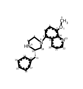 COc1ccc(N2CCN[C@@H](Cc3ccccc3)C2)c2cccnc12